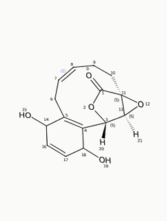 O=C1O[C@H]2C3=C(C/C=C\CC[C@@]14O[C@@H]24)C(O)C=CC3O